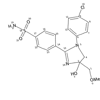 COCC1(O)CN(c2ccc(Cl)cc2)C(c2ccc(S(N)(=O)=O)cc2)=N1